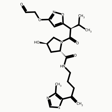 C=C(CCCNC(=O)[C@@H]1C[C@@H](O)CN1C(=O)[C@@H](c1cc(OCC=O)no1)C(C)C)c1scnc1C